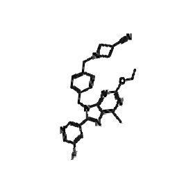 CCOc1nc(C)c2nc(-c3cncc(F)c3)n(Cc3ccc(CN4CC(C#N)C4)cc3)c2n1